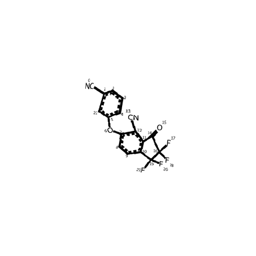 N#Cc1cccc(Oc2ccc3c(c2C#N)C(=O)C(F)(F)C3(F)F)c1